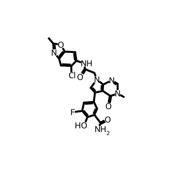 Cc1nc2cc(Cl)c(NC(=O)Cn3cc(-c4cc(F)c(O)c(C(N)=O)c4)c4c(=O)n(C)cnc43)cc2o1